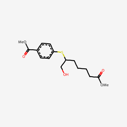 COC(=O)CCCCC(CO)Sc1ccc(C(=O)OC)cc1